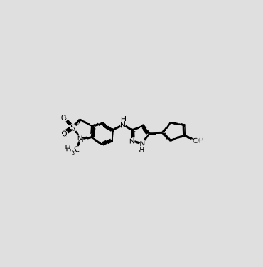 CN1c2ccc(Nc3cc(C4CCC(O)C4)[nH]n3)cc2CS1(=O)=O